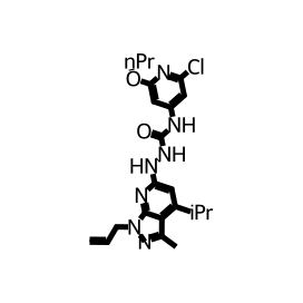 C=CCn1nc(C)c2c(C(C)C)cc(NNC(=O)Nc3cc(Cl)nc(OCCC)c3)nc21